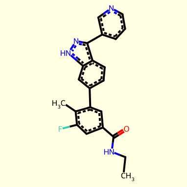 CCNC(=O)c1cc(F)c(C)c(-c2ccc3c(-c4cccnc4)n[nH]c3c2)c1